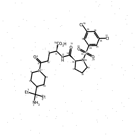 CCC(N)(CC)C1CCN(C(=O)CC[C@H](NC(=O)[C@@H]2CCCN2S(=O)(=O)c2cc(Cl)cc(Cl)c2)C(=O)O)CC1